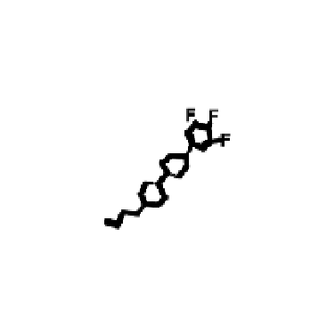 C=CCC[C@H]1CC[C@H]([C@H]2CC[C@H](c3cc(F)c(F)c(F)c3)CC2)CC1